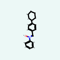 [O-][N+](=Cc1ccc(C2CCCCC2)cc1)c1ccccc1